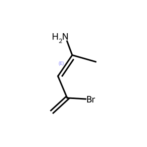 C=C(Br)/C=C(\C)N